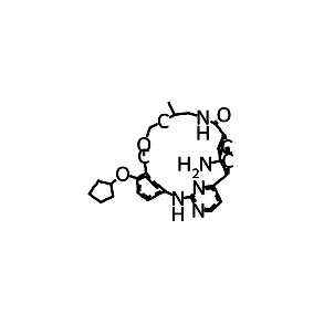 CC1CCOCc2cc(ccc2OC2CCCC2)Nc2nccc(n2)-c2ccc(cc2N)C(=O)NC1